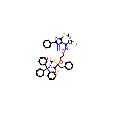 CC(=NOCCOC1(Cc2ccccc2)SC(=O)N(C(c2ccccc2)(c2ccccc2)c2ccccc2)C1=O)c1[nH]c(-c2ccccc2)nc1C